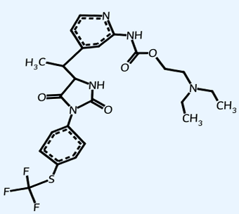 CCN(CC)CCOC(=O)Nc1cc(C(C)C2NC(=O)N(c3ccc(SC(F)(F)F)cc3)C2=O)ccn1